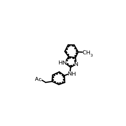 CC(=O)Cc1ccc(Nc2nc3c(C)cccc3[nH]2)cc1